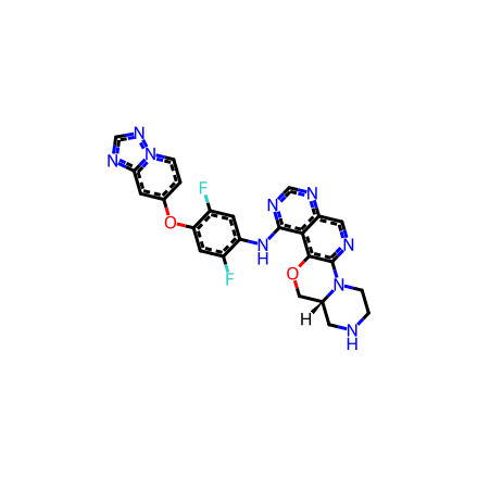 Fc1cc(Oc2ccn3ncnc3c2)c(F)cc1Nc1ncnc2cnc3c(c12)OC[C@H]1CNCCN31